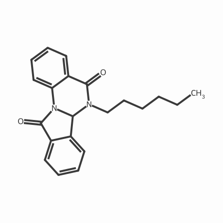 CCCCCCN1C(=O)c2ccccc2N2C(=O)c3ccccc3C12